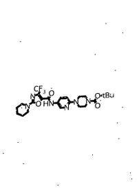 CC(C)(C)OC(=O)N1CCN(c2ccc(NC(=O)c3oc(N4CCCCC4)nc3C(F)(F)F)cn2)CC1